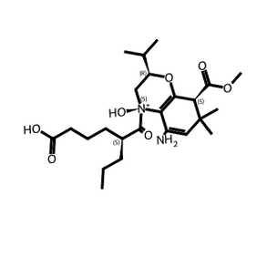 CCC[C@@H](CCCC(=O)O)C(=O)[N@+]1(O)C[C@@H](C(C)C)OC2=C1C(N)=CC(C)(C)[C@@H]2C(=O)OC